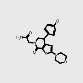 NC(=O)CN1CC(c2ccc(Cl)cc2)c2cc(N3CCOCC3)sc2C1=O